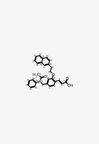 CC(=O)N(Cc1ccc(C=CC(=O)O)c(OCCc2ccc3ccccc3c2)c1)c1ccccc1